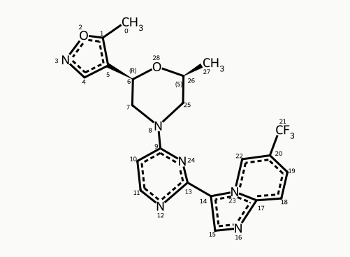 Cc1oncc1[C@@H]1CN(c2ccnc(-c3cnc4ccc(C(F)(F)F)cn34)n2)C[C@H](C)O1